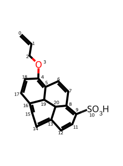 C=CCOC1=C2C=CC3=C(S(=O)(=O)O)C=CC4=CC=C(C=C1)C2C43